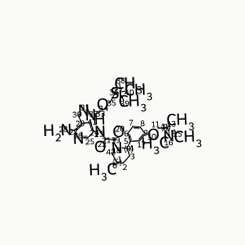 C[C@H]1CC[C@H](c2cccc(OC[C@@H](C)N(C)C)c2)N(C(=O)C(=O)Nc2cnc(N)c3cnn(COCC[Si](C)(C)C)c23)C1